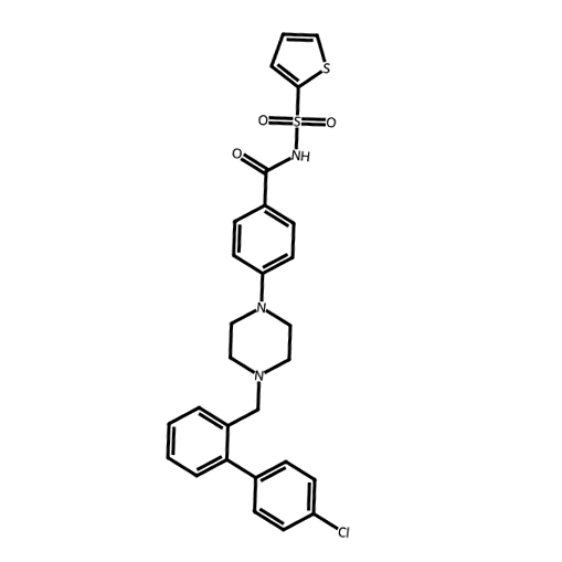 O=C(NS(=O)(=O)c1cccs1)c1ccc(N2CCN(Cc3ccccc3-c3ccc(Cl)cc3)CC2)cc1